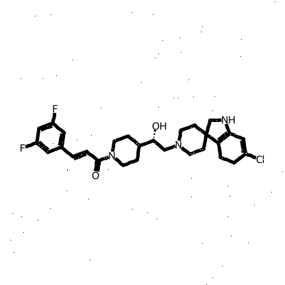 O=C(/C=C/c1cc(F)cc(F)c1)N1CCC([C@H](O)CN2CCC3(CC2)CNC2=C3CCC(Cl)=C2)CC1